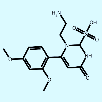 COc1ccc(C2=CC(=O)NC(S(=O)(=O)O)N2CCN)c(OC)c1